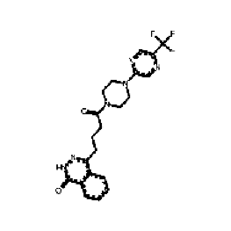 O=C(CCCc1n[nH]c(=O)c2ccccc12)N1CCN(c2cnc(C(F)(F)F)cn2)CC1